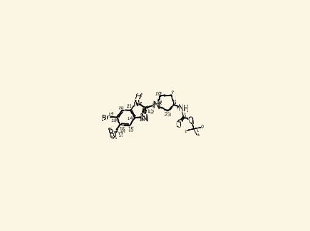 CC(C)(C)OC(=O)NC1CCN(c2nc3cc(Br)c(Br)cc3[nH]2)C1